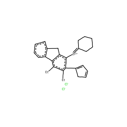 CCc1c(CC)c2c([c]([Zr+2]=[C]3CCCCC3)c1C1=CC=CC1)Cc1ccccc1-2.[Cl-].[Cl-]